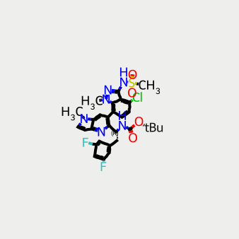 Cn1ccc2nc([C@@H](Cc3cc(F)cc(F)c3)NC(=O)OC(C)(C)C)c(-c3ccc(Cl)c4c(NS(C)(=O)=O)nn(C)c34)cc21